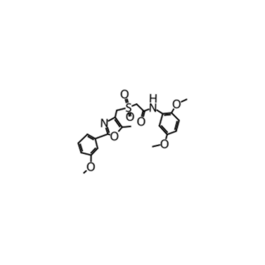 COc1cccc(-c2nc(CS(=O)(=O)CC(=O)Nc3cc(OC)ccc3OC)c(C)o2)c1